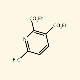 CCOC(=O)c1ccc(C(F)(F)F)nc1C(=O)OCC